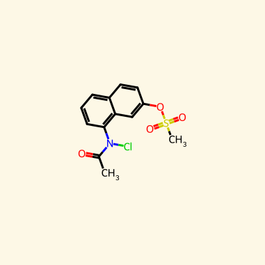 CC(=O)N(Cl)c1cccc2ccc(OS(C)(=O)=O)cc12